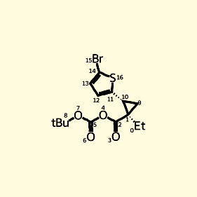 CC[C@@]1(C(=O)OC(=O)OC(C)(C)C)C[C@H]1c1ccc(Br)s1